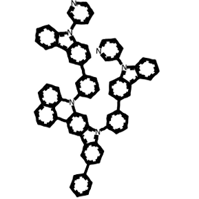 c1ccc(-c2ccc3c(c2)c2cc4c(cc2n3-c2cccc(-c3ccc5c(c3)c3ccccc3n5-c3cccnc3)c2)N(c2cccc(-c3ccc5c(c3)c3ccccc3n5-c3cccnc3)c2)c2cccc3cccc-4c23)cc1